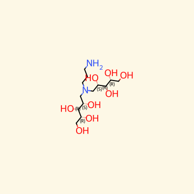 NCCCN(C[C@H](O)[C@@H](O)[C@H](O)CO)C[C@H](O)[C@@H](O)[C@H](O)CO